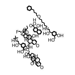 CC(C)(C)NCC(O)c1ccc(O)c(CO)c1.CCC(=O)O[C@]1(C(=O)SCF)[C@H](C)C[C@H]2C3C[C@H](F)C4=CC(=O)C=C[C@]4(C)[C@@]3(F)[C@@H](O)C[C@@]21C.C[C@]12C=CC(=O)C=C1CC[C@@H]1[C@@H]2C(=O)C[C@@]2(C)[C@H]1CC[C@]2(O)C(=O)CO.O=C(O)c1ccc2ccccc2c1O.OCc1cc(C(O)CNCCCCCCOCCCCc2ccccc2)ccc1O